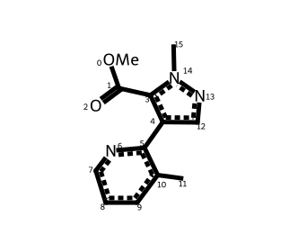 COC(=O)c1c(-c2ncccc2C)cnn1C